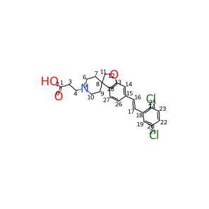 O=C(O)CCN1CCC2(CC1)COc1cc(C=Cc3cc(Cl)ccc3Cl)ccc12